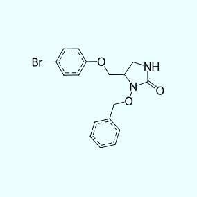 O=C1NCC(COc2ccc(Br)cc2)N1OCc1ccccc1